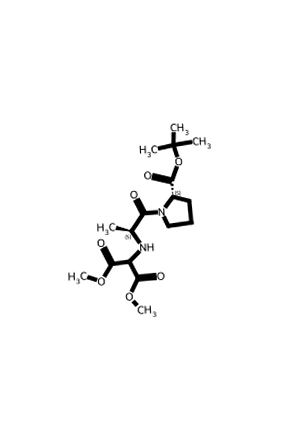 COC(=O)C(N[C@@H](C)C(=O)N1CCC[C@H]1C(=O)OC(C)(C)C)C(=O)OC